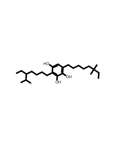 CCC(CCCCc1c(O)cc(CCCCCC(C)(C)CC)c(O)c1O)C(C)I